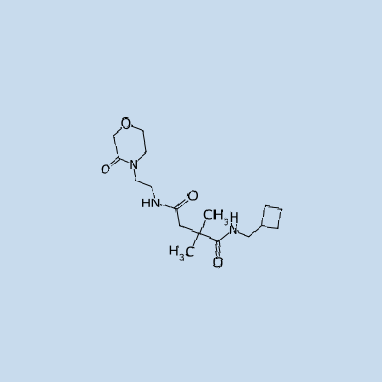 CC(C)(CC(=O)NCCN1CCOCC1=O)C(=O)NCC1CCC1